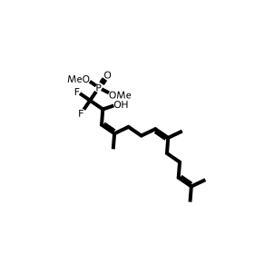 COP(=O)(OC)C(F)(F)C(O)C=C(C)CCC=C(C)CCC=C(C)C